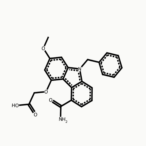 COc1cc(OCC(=O)O)c2c3c(C(N)=O)cccc3n(Cc3ccccc3)c2c1